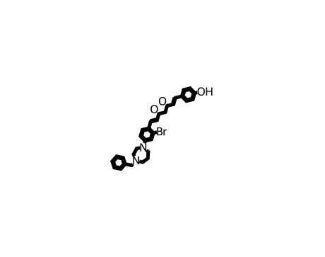 O=C(C=Cc1ccc(O)cc1)CC(=O)C=Cc1ccc(N2CCCN(Cc3ccccc3)CC2)cc1Br